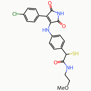 COCCNC(=O)C(S)c1ccc(NC2=C(c3ccc(Cl)cc3)C(=O)NC2=O)cc1